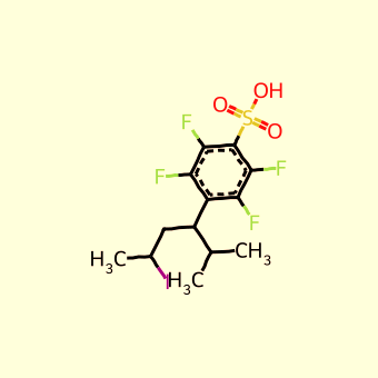 CC(I)CC(c1c(F)c(F)c(S(=O)(=O)O)c(F)c1F)C(C)C